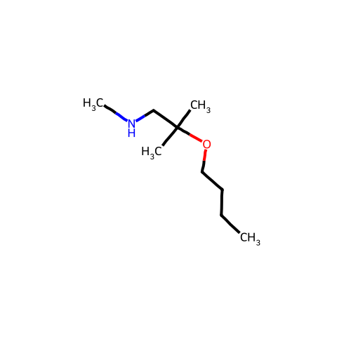 CCCCOC(C)(C)CNC